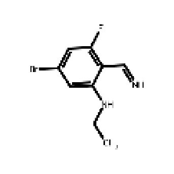 CCNc1cc(Br)cc(F)c1C=N